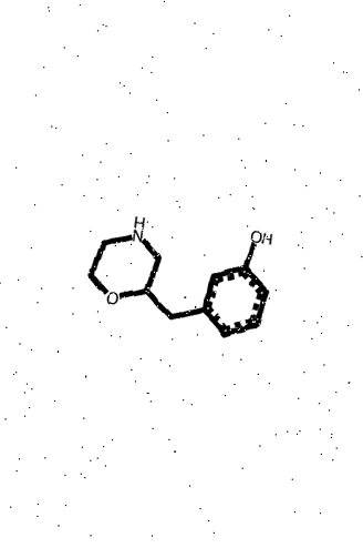 Oc1cccc(CC2CNCCO2)c1